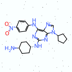 N[C@H]1CC[C@H](Nc2nc(Nc3ccc([N+](=O)[O-])cc3)c3ncn(C4CCCC4)c3n2)CC1